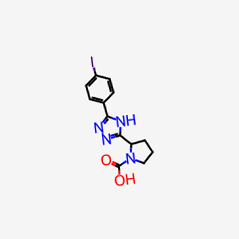 O=C(O)N1CCCC1c1nnc(-c2ccc(I)cc2)[nH]1